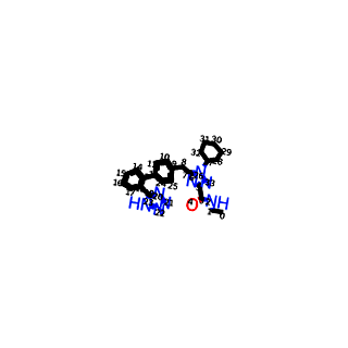 CCNC(=O)c1nc(Cc2ccc(-c3ccccc3-c3nnn[nH]3)cc2)n(C2CCCCC2)n1